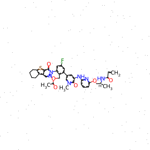 C=CC(=O)N[C@@H](C)COc1cccc(Nc2cc(-c3cc(F)cc(-n4ncc5c6c(sc5c4=O)CCCC6)c3COC(C)=O)cn(C)c2=O)n1